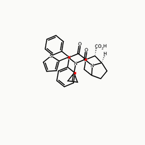 O=C(O)[C@@H]1[C@H]2CCC(CN1C(=O)N(c1ccccc1)c1ccccc1)N2C(=O)N(Cc1cccs1)C1CC1